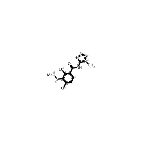 CCc1c(C(=O)Nc2nnnn2C)ccc(Cl)c1SOC